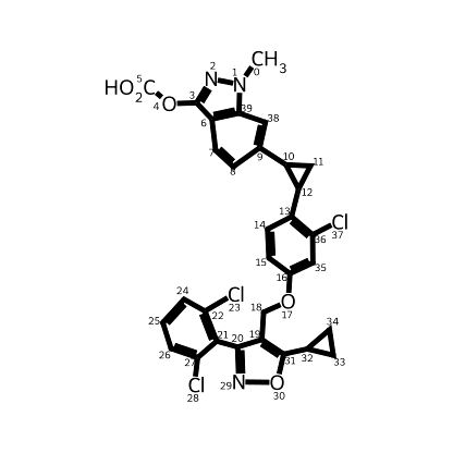 Cn1nc(OC(=O)O)c2ccc(C3CC3c3ccc(OCc4c(-c5c(Cl)cccc5Cl)noc4C4CC4)cc3Cl)cc21